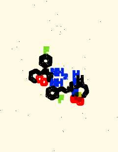 N[C@H](C(=O)Nc1cccc(F)c1CC[C@H]1CN[C@@H]2CCCS(=O)(=O)N1C2)[C@@H](c1ccc(F)cc1)C1CCCCO1